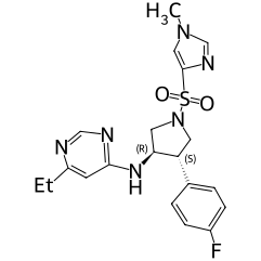 CCc1cc(N[C@H]2CN(S(=O)(=O)c3cn(C)cn3)C[C@@H]2c2ccc(F)cc2)ncn1